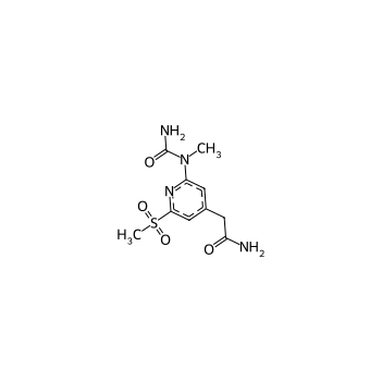 CN(C(N)=O)c1cc(CC(N)=O)cc(S(C)(=O)=O)n1